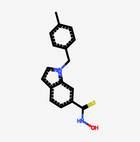 Cc1ccc(Cn2ccc3ccc(C(=S)NO)cc32)cc1